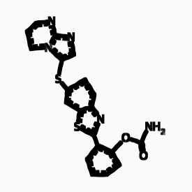 NC(=O)Oc1ccccc1-c1nc2ccc(Sc3cnc4ncccn34)cc2s1